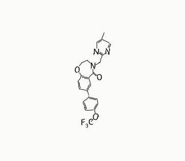 Cc1cnc(CN2CCOc3ccc(-c4ccc(OC(F)(F)F)cc4)cc3C2=O)nc1